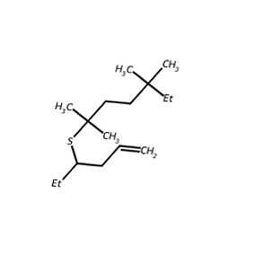 C=CCC(CC)SC(C)(C)CCC(C)(C)CC